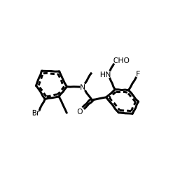 Cc1c(Br)cccc1N(C)C(=O)c1cccc(F)c1NC=O